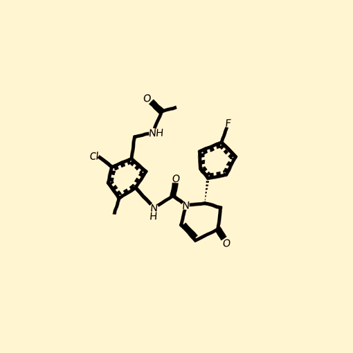 CC(=O)NCc1cc(NC(=O)N2C=CC(=O)C[C@H]2c2ccc(F)cc2)c(C)cc1Cl